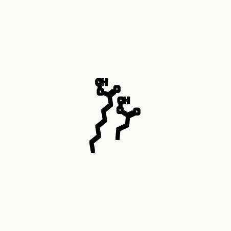 CCCC(=O)OO.CCCCCCCC(=O)OO